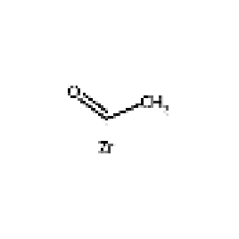 C[C]=O.[Zr]